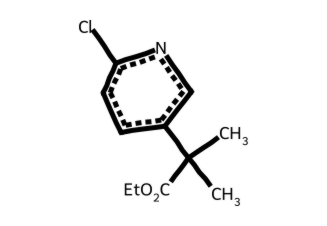 CCOC(=O)C(C)(C)c1ccc(Cl)nc1